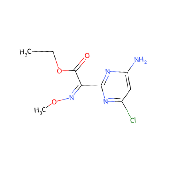 CCOC(=O)C(=NOC)c1nc(N)cc(Cl)n1